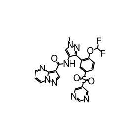 Cn1cc(NC(=O)c2cnn3cccnc23)c(-c2cc(S(=O)(=O)c3cncnc3)ccc2OC(F)F)n1